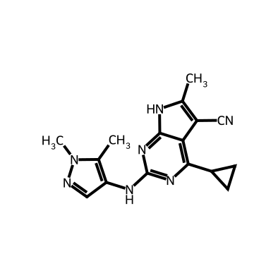 Cc1[nH]c2nc(Nc3cnn(C)c3C)nc(C3CC3)c2c1C#N